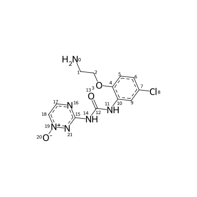 NCCOc1ccc(Cl)cc1NC(=O)Nc1ncc[n+]([O-])n1